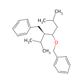 CC(C)CC(OCc1ccccc1)[C@H](Cc1ccccc1)C(C)C